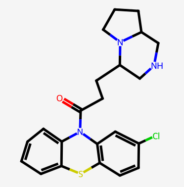 O=C(CCC1CNCC2CCCN21)N1c2ccccc2Sc2ccc(Cl)cc21